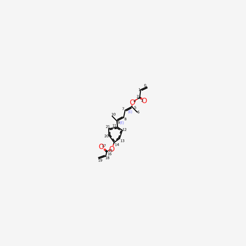 C=CC(=O)O/C(C)=C/C=C(\C)c1ccc(OC(=O)C=C)cc1